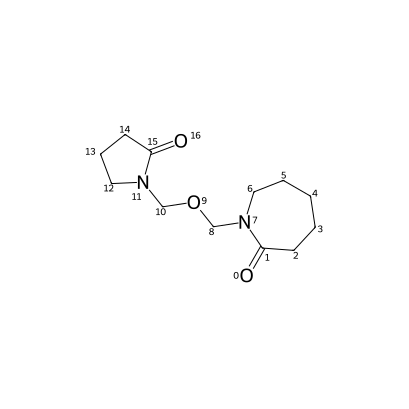 O=C1CCCCCN1COCN1CCCC1=O